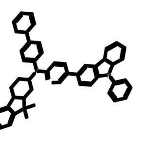 C=C(/C=C\C(=C/C)c1ccc2c(c1)C1C=CC=CC1N2c1ccccc1)N(c1ccc(C2C=CC=CC2)cc1)C1CCC2c3ccccc3C(C)(C)C2C1